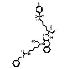 Cc1ccc(S(=O)(=O)NCCCC[C@](N)(C=O)C(=O)N[C@@H](Cc2ccccc2)C(=O)N[C@H](CO)CCCCNC(=O)OCc2ccccc2)cc1